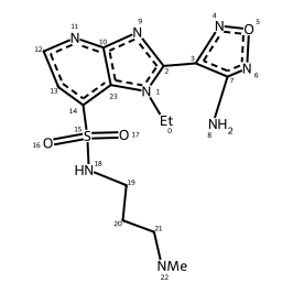 CCn1c(-c2nonc2N)nc2nccc(S(=O)(=O)NCCCNC)c21